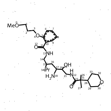 COCCCOc1ccccc1C(=O)NCC(CC(N)C(O)CNC(=O)C(C)(C)C1CCOCC1)C(C)C